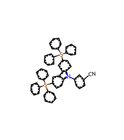 N#Cc1cccc(-n2c3ccc(S(c4ccccc4)(c4ccccc4)c4ccccc4)cc3c3cc(S(c4ccccc4)(c4ccccc4)c4ccccc4)ccc32)c1